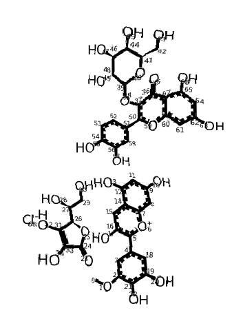 COc1cc(-c2[o+]c3cc(O)cc(O)c3cc2O)cc(O)c1O.O=C1O[C@H]([C@@H](O)CO)C(O)=C1O.O=c1c(OC2O[C@H](CO)[C@H](O)[C@H](O)[C@H]2O)c(-c2ccc(O)c(O)c2)oc2cc(O)cc(O)c12.[Cl-]